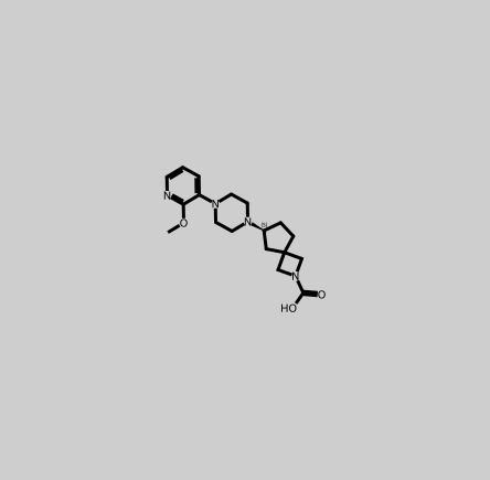 COc1ncccc1N1CCN([C@H]2CCC3(C2)CN(C(=O)O)C3)CC1